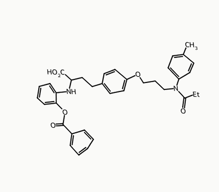 CCC(=O)N(CCCOc1ccc(CCC(Nc2ccccc2OC(=O)c2ccccc2)C(=O)O)cc1)c1ccc(C)cc1